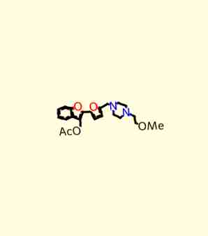 COCCN1CCN(Cc2ccc(-c3oc4ccccc4c3COC(C)=O)o2)CC1